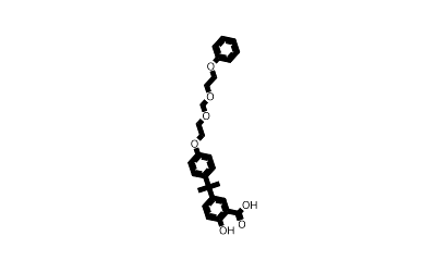 CC(C)(c1ccc(OCCOCOCCOc2ccccc2)cc1)c1ccc(O)c(C(=O)O)c1